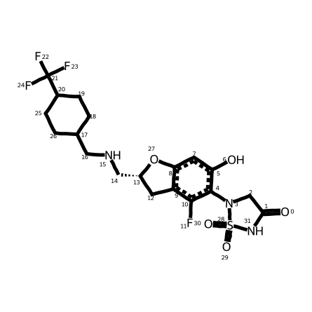 O=C1CN(c2c(O)cc3c(c2F)C[C@H](CNCC2CCC(C(F)(F)F)CC2)O3)S(=O)(=O)N1